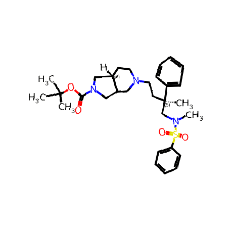 CN(C[C@@](C)(CCN1CC[C@H]2CN(C(=O)OC(C)(C)C)CC2C1)c1ccccc1)S(=O)(=O)c1ccccc1